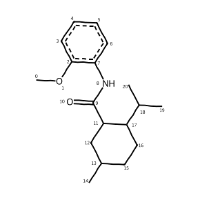 COc1ccccc1NC(=O)C1CC(C)CCC1C(C)C